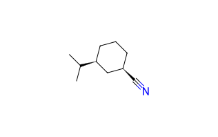 CC(C)[C@H]1CCC[C@@H](C#N)C1